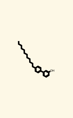 CCCCCCCCCCCCc1ccc(-c2cccc(O)c2)cc1